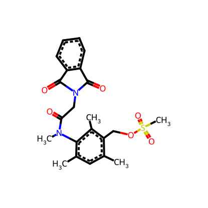 Cc1cc(C)c(N(C)C(=O)CN2C(=O)c3ccccc3C2=O)c(C)c1COS(C)(=O)=O